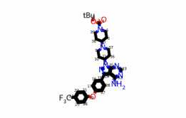 CC(C)(C)OC(=O)N1CCC(N2CCC(n3nc(-c4ccc(Oc5ccc(C(F)(F)F)cc5)cc4)c4c(N)ncnc43)CC2)CC1